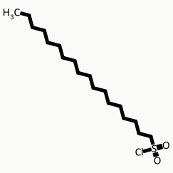 CCCCCCCCCCCCCCCCCCS(=O)(=O)Cl